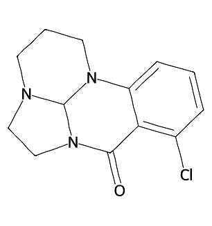 O=C1c2c(Cl)cccc2N2CCCN3CCN1C32